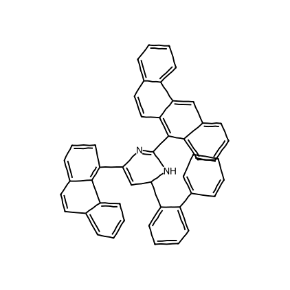 C1=C(c2cccc3ccc4ccccc4c23)N=C(c2c3ccccc3cc3c2ccc2ccccc23)NC1c1ccccc1-c1ccccc1